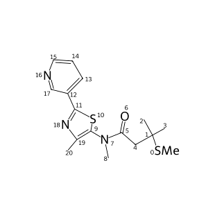 CSC(C)(C)CC(=O)N(C)c1sc(-c2cccnc2)nc1C